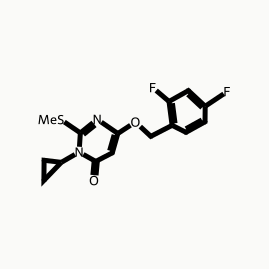 CSc1nc(OCc2ccc(F)cc2F)cc(=O)n1C1CC1